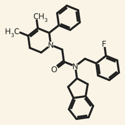 CC1=C(C)C(c2ccccc2)N(CC(=O)N(Cc2ccccc2F)C2Cc3ccccc3C2)CC1